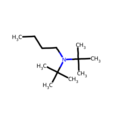 CCCCN(C(C)(C)C)C(C)(C)C